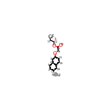 CCC(C)c1ccc2cc(OCC(=O)OCCC(F)(F)F)ccc2c1